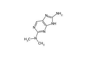 CN(C)c1ncc2nc(N)[nH]c2n1